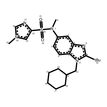 CN(c1ccc2c(c1)nc(C(C)(C)C)n2CC1CCCCC1)S(=O)(=O)c1cn(C)cn1